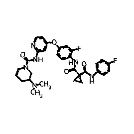 CN(C)C1CCCN(C(=O)Nc2cc(Oc3ccc(NC(=O)C4(C(=O)Nc5ccc(F)cc5)CC4)c(F)c3)ccn2)C1